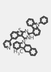 CC12Cc3ccccc3C=C1N([C@H]1NC(c3cccc4c3c3ccccc3n4-c3ccccc3)=Nc3sc4ccc(-c5cccnc5)cc4c31)c1ccccc12